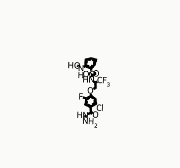 NNC(=O)c1cc(F)c(OCC(NS(=O)(=O)c2ccccc2NO)C(F)(F)F)cc1Cl